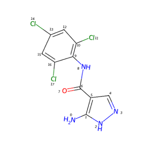 Nc1[nH]ncc1C(=O)Nc1c(Cl)cc(Cl)cc1Cl